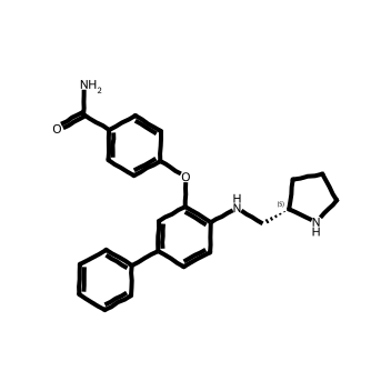 NC(=O)c1ccc(Oc2cc(-c3ccccc3)ccc2NC[C@@H]2CCCN2)cc1